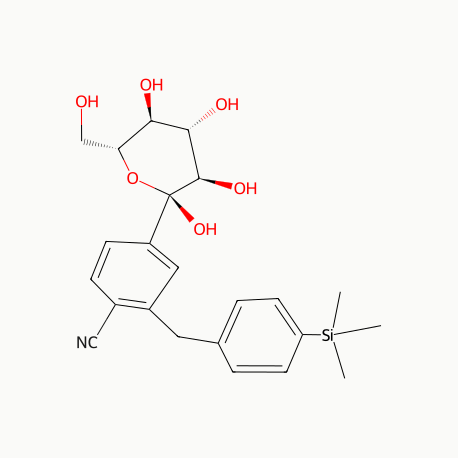 C[Si](C)(C)c1ccc(Cc2cc([C@]3(O)O[C@H](CO)[C@@H](O)[C@H](O)[C@H]3O)ccc2C#N)cc1